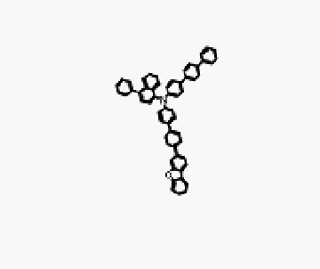 c1ccc(-c2ccc(-c3ccc(N(c4ccc(-c5ccc(-c6ccc7c(c6)oc6ccccc67)cc5)cc4)c4ccc(-c5ccccc5)c5ccccc45)cc3)cc2)cc1